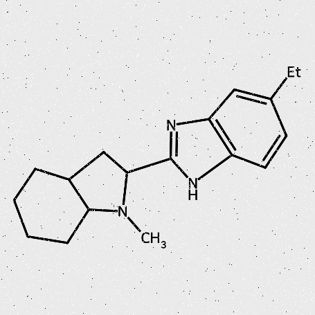 CCc1ccc2[nH]c(C3CC4CCCCC4N3C)nc2c1